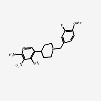 COc1ccc(CN2CCC(c3cnc(N)c([N+](=O)[O-])c3N)CC2)cc1F